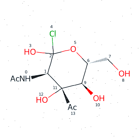 CC(=O)N[C@H]1C(O)(Cl)O[C@H](CO)[C@@H](O)[C@@]1(O)C(C)=O